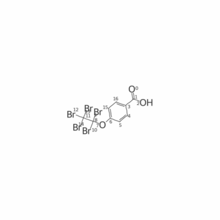 O=C(O)c1ccc(OC(Br)(Br)C(Br)(Br)Br)cc1